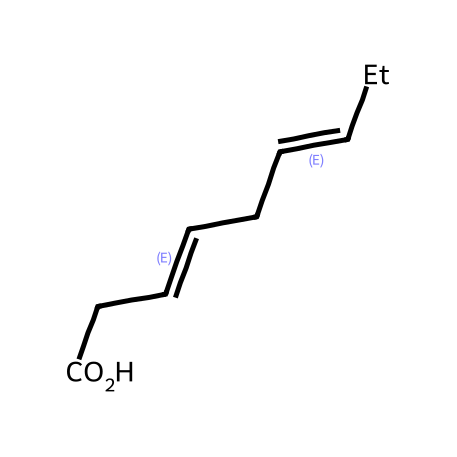 CC/C=C/C/C=C/CC(=O)O